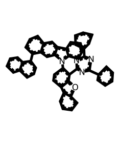 c1ccc(-c2nc(-c3ccccc3)nc(-c3c(-n4c5ccccc5c5cc6cccc(-c7cccc8ccccc78)c6cc54)ccc4c3oc3ccccc34)n2)cc1